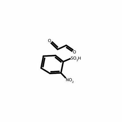 O=CC=O.O=[N+]([O-])c1ccccc1S(=O)(=O)O